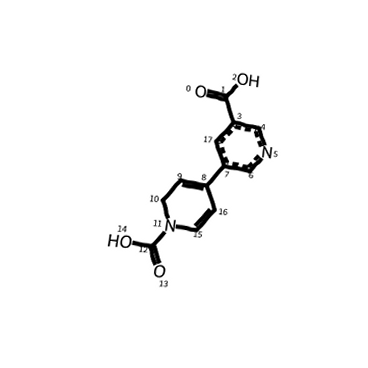 O=C(O)c1cncc(C2=CCN(C(=O)O)C=C2)c1